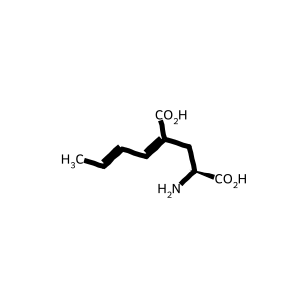 CC=CC=C(C[C@H](N)C(=O)O)C(=O)O